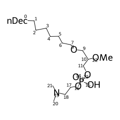 CCCCCCCCCCCCCCCCCOCC(COP(=O)(O)OCCN(C)C)OC